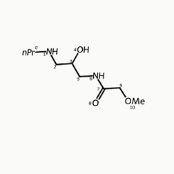 CCCNCC(O)CNC(=O)COC